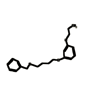 CCCOc1cccc(OCCCCOCc2ccccc2)c1